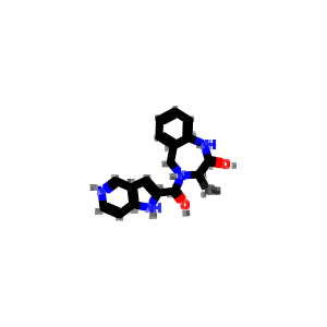 CCC(C)C1C(=O)Nc2ccccc2CN1C(=O)c1cc2cnccc2[nH]1